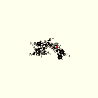 CC(C)CC[C@@H](C(=O)O[C@@H](C)C(=O)N(C)[C@@H](CC(C)(C)F)C(=O)O[C@@H](Cc1ccc(OC(F)(F)F)cc1)C(=O)N(C)[C@@H](CCC(C)C)C(=O)O[C@@H](C)C(=O)N(C)[C@@H](CC(C)(C)F)C(=O)O[C@@H](Cc1ccc(OC(F)(F)F)cc1)C(=O)OCc1ccccc1)N(C)C(=O)OC(C)(C)C